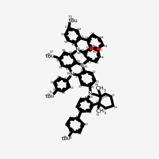 CC(C)(C)c1ccc(-c2ccc3c(c2)C2(C)CCCCC2(C)N3c2ccc3c(c2)N(c2ccc(C(C)(C)C)cc2)c2cc(C(C)(C)C)cc4c2B3c2ccccc2N4c2ccc(C(C)(C)C)cc2-c2ccccc2)cc1